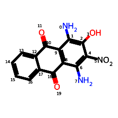 Nc1c(O)c([N+](=O)[O-])c(N)c2c1C(=O)c1ccccc1C2=O